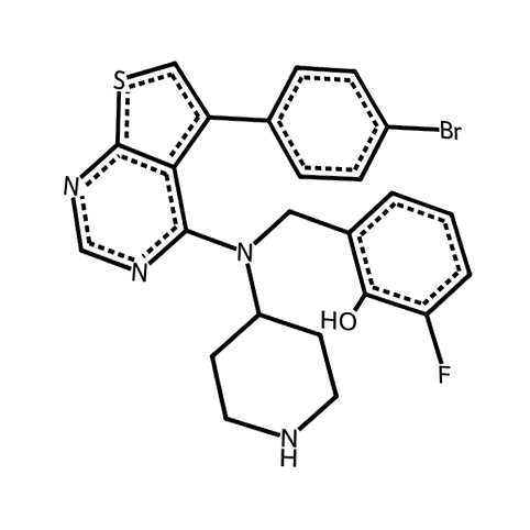 Oc1c(F)cccc1CN(c1ncnc2scc(-c3ccc(Br)cc3)c12)C1CCNCC1